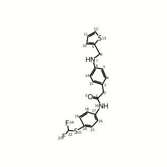 O=C(Cc1ccc(NCc2cccs2)cc1)Nc1ccc(SC(F)F)cc1